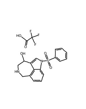 O=C(O)C(F)(F)F.O=S(=O)(c1ccccc1)n1cc2c3c(cccc31)CNCC2O